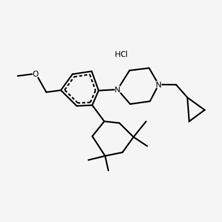 COCc1ccc(N2CCN(CC3CC3)CC2)c(C2CC(C)(C)CC(C)(C)C2)c1.Cl